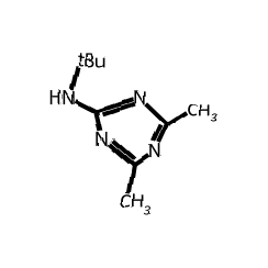 Cc1nc(C)nc(NC(C)(C)C)n1